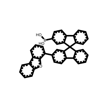 OB(O)c1ccc2c(c1)C1(c3ccccc3-2)c2ccccc2-c2ccc(-c3cccc4c3oc3ccccc34)cc21